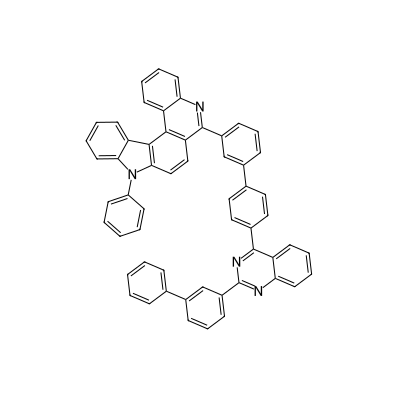 c1ccc(-c2cccc(-c3nc(-c4ccc(-c5cccc(-c6nc7ccccc7c7c6ccc6c7c7ccccc7n6-c6ccccc6)c5)cc4)c4ccccc4n3)c2)cc1